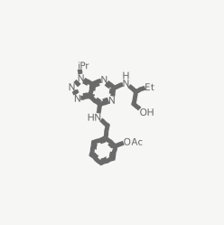 CCC(CO)Nc1nc(NCc2ccccc2OC(C)=O)c2nnn(C(C)C)c2n1